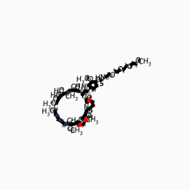 COCCOCCOCCOCCNC(=S)O[C@@H]1CC[C@@H](C[C@@H](N)[C@@H]2CC(=O)[C@H](C)/C=C(\C)[C@@H](O)[C@@H](O)C(=O)C(C)C[C@H](C)/C=C/C=C/C=C(\C)[C@@H](OC)C[C@@H]3CC[C@@H](C)[C@@](O)(O3)C(=O)C(=O)N3CCCC[C@H]3C(=O)O2)C[C@H]1OC